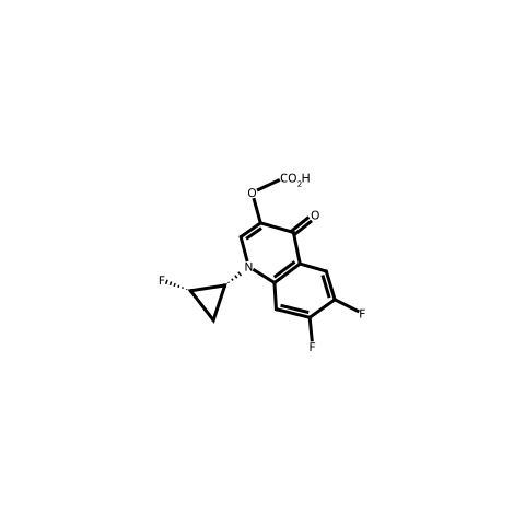 O=C(O)Oc1cn([C@@H]2C[C@@H]2F)c2cc(F)c(F)cc2c1=O